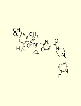 COc1cc(C)c(S(=O)(=O)N(Cc2nc(C(=O)N3CCN(Cc4ccc(F)nc4)CC3)co2)C2CC2)c(C)c1